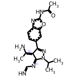 CC(=O)Nc1nc2ccc(C3=NN(C(C)C)C(=N/C=N)/C3=C(\C)N)cc2o1